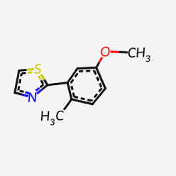 COc1ccc(C)c(-c2nccs2)c1